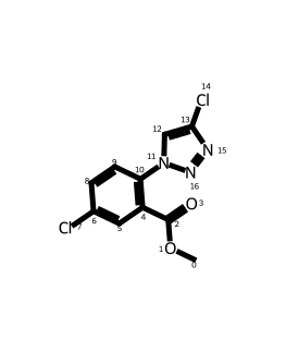 COC(=O)c1cc(Cl)ccc1-n1cc(Cl)nn1